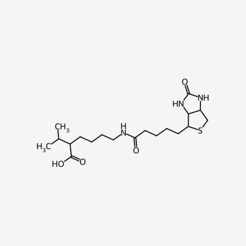 CC(C)C(CCCCNC(=O)CCCCC1SCC2NC(=O)NC21)C(=O)O